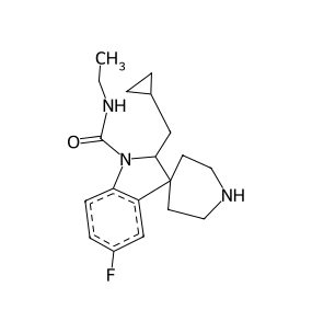 CCNC(=O)N1c2ccc(F)cc2C2(CCNCC2)C1CC1CC1